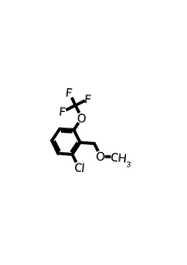 COCc1c(Cl)cccc1OC(F)(F)F